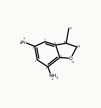 CC(C)c1cc(N)c2c(c1)C(C)CO2